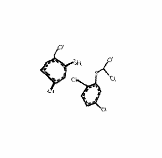 Clc1ccc(Cl)c(SC(Cl)Cl)c1.Sc1cc(Cl)ccc1Cl